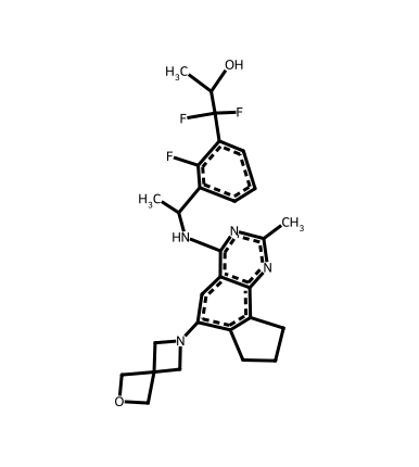 Cc1nc(NC(C)c2cccc(C(F)(F)C(C)O)c2F)c2cc(N3CC4(COC4)C3)c3c(c2n1)CCC3